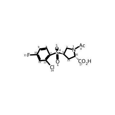 CC(=O)N1C[C@H](S(=O)(=O)c2ccc(F)cc2Cl)C[C@H]1C(=O)O